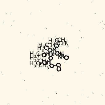 CC(C)c1ccc(N2c3cc(N(c4ccc(C(C)(C)C)cc4)c4cccc(-c5cccc6ccccc56)c4)ccc3B3c4cc5nn(-c6ccccc6)nc5cc4N(c4ccc(C(C)(C)C)cc4)c4cc(C(C)(C)C)cc2c43)cc1